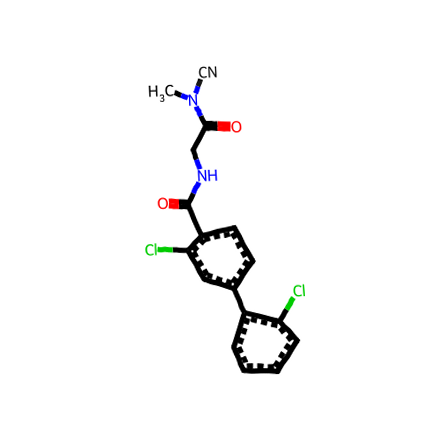 CN(C#N)C(=O)CNC(=O)c1ccc(-c2ccccc2Cl)cc1Cl